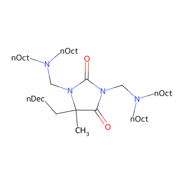 CCCCCCCCCCCC1(C)C(=O)N(CN(CCCCCCCC)CCCCCCCC)C(=O)N1CN(CCCCCCCC)CCCCCCCC